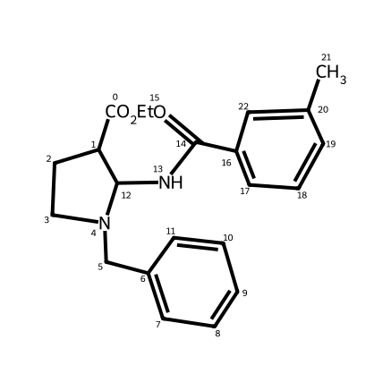 CCOC(=O)C1CCN(Cc2ccccc2)C1NC(=O)c1cccc(C)c1